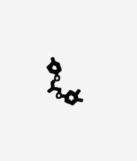 Cc1ccc(OCC(C)COc2ccc(C)c(C)c2)cc1